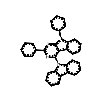 c1ccc(-c2nc(-n3c4ccccc4c4ccccc43)c3c4ccccc4n(-c4ccccc4)c3n2)cc1